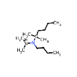 CCCCN([SiH](C)C)[Si](C)(C)CCCC